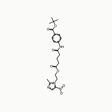 Cc1ncc([N+](=O)[O-])n1CCOC(=O)CCCC(=O)Nc1ccc(C(=O)OC(C)(C)C)cc1